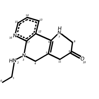 CCNN1CC2=C(NCC(=O)C2)c2cccnc21